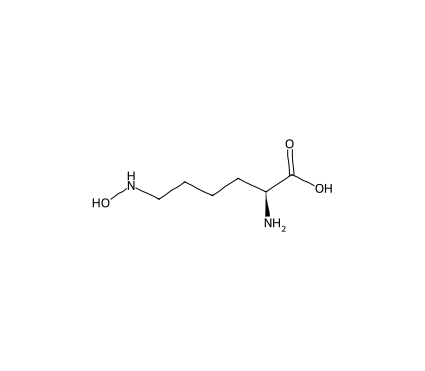 N[C@@H](CCCCNO)C(=O)O